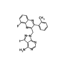 Cc1ccccc1-c1nc2cccc(F)c2nc1Cn1nc(I)c2c(N)ncnc21